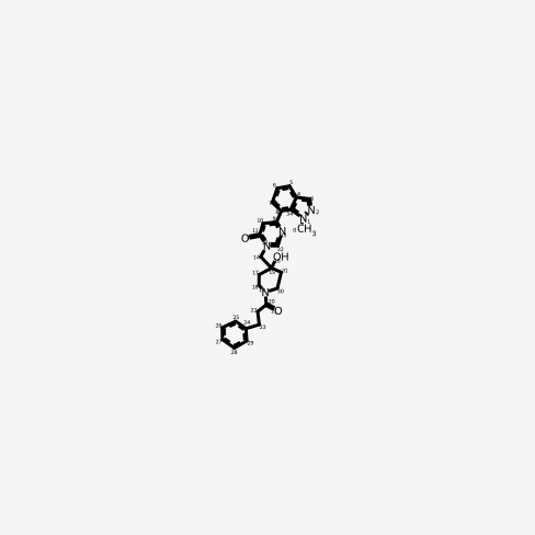 Cn1ncc2cccc(-c3cc(=O)n(CC4(O)CCN(C(=O)CCc5ccccc5)CC4)cn3)c21